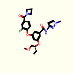 CC[C@@H](COC)Oc1cc(Oc2ccc(C(=O)N3CCC3)cc2F)cc(C(=O)Nc2ccn(C)n2)c1